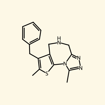 Cc1sc2c(c1Cc1ccccc1)CNCc1nnc(C)n1-2